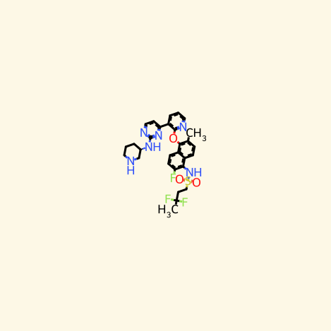 Cc1ccc2c(NS(=O)(=O)CCC(C)(F)F)c(F)ccc2c1Oc1ncccc1-c1ccnc(N[C@@H]2CCCNC2)n1